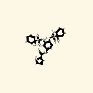 O=C(Nc1ccc(NS(=O)(=O)C2(Cl)C=CC=CC2)c(NS(=O)(=O)C2(Cl)C=CC=CC2)c1)c1ccco1